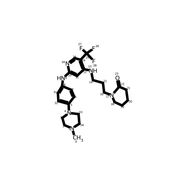 CN1CCN(c2ccc(Nc3cc(NCCCN4CCCCC4=O)c(C(F)(F)F)cn3)cc2)CC1